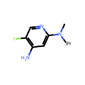 CC(C)N(C)c1cc(N)c(F)cn1